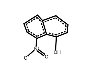 O=[N+]([O-])c1cccc2cccc(O)c12